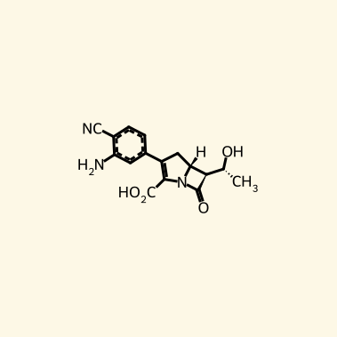 C[C@@H](O)[C@H]1C(=O)N2C(C(=O)O)=C(c3ccc(C#N)c(N)c3)C[C@H]12